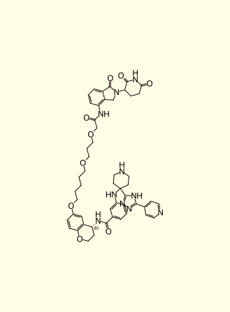 O=C1CCC(N2Cc3c(NC(=O)COCCCOCCCCCOc4ccc5c(c4)[C@H](NC(=O)c4cccc(NC6(c7nnc(-c8ccncc8)[nH]7)CCNCC6)c4)CCO5)cccc3C2=O)C(=O)N1